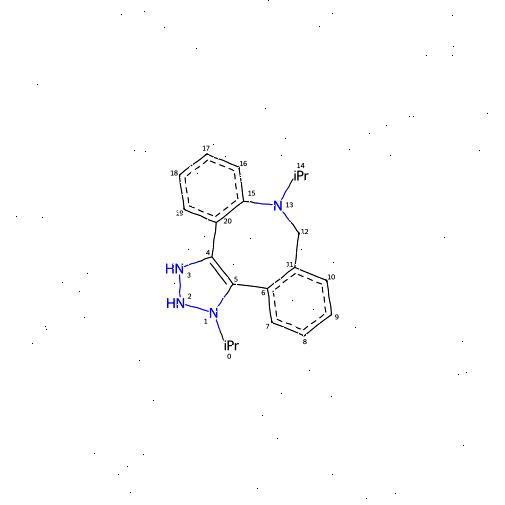 CC(C)N1NNC2=C1c1ccccc1CN(C(C)C)c1ccccc12